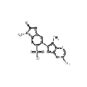 CCS(=O)(=O)c1cc2c(cc1-c1nc3cc(C(F)(F)F)cnc3n1C)[nH]c(=O)n2C